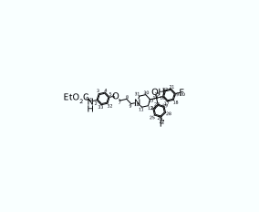 CCOC(=O)Nc1ccc(OCCCN2CCC(C(O)(c3ccc(F)cc3)c3ccc(F)cc3)CC2)cc1